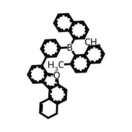 Cc1ccc2ccccc2c1B(c1cccc(-c2cccc3c2oc2ccc4c(c23)C=CCC4)c1)c1c(C)ccc2ccccc12